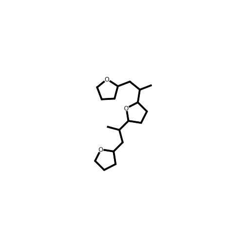 CC(CC1CCCO1)C1CCC(C(C)CC2CCCO2)O1